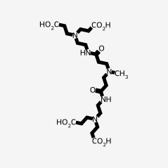 CN(CCC(=O)NCCN(CCC(=O)O)CCC(=O)O)CCC(=O)NCCN(CCC(=O)O)CCC(=O)O